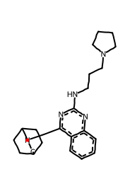 c1ccc2c(N3CC4CCC(CC4)C3)nc(NCCCN3CCCC3)nc2c1